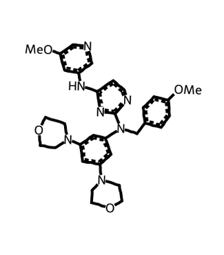 COc1ccc(CN(c2cc(N3CCOCC3)cc(N3CCOCC3)c2)c2nccc(Nc3cncc(OC)c3)n2)cc1